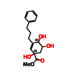 COC(=O)[C@]1(O)C=C(CCCc2ccccc2)[C@@H](O)C(O)C1